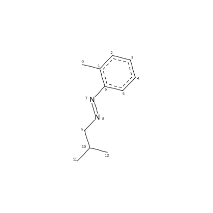 Cc1ccccc1N=NCC(C)C